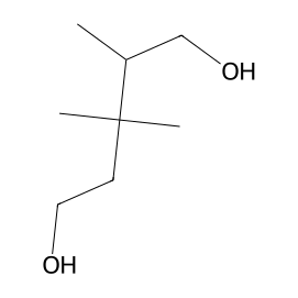 CC(CO)C(C)(C)CCO